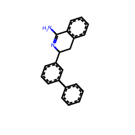 NC1=NC(c2cccc(-c3ccccc3)c2)Cc2ccccc21